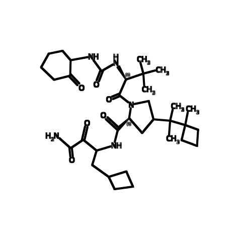 CC(C)(C)[C@H](NC(=O)NC1CCCCC1=O)C(=O)N1CC(C(C)(C)C2(C)CCC2)C[C@H]1C(=O)NC(CC1CCC1)C(=O)C(N)=O